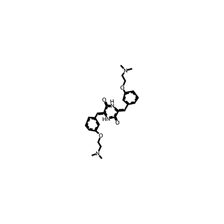 CN(C)CCOc1cccc(C=c2[nH]c(=O)c(=Cc3cccc(OCCN(C)C)c3)[nH]c2=O)c1